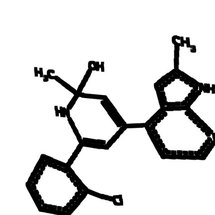 Cc1cc2c(C3=CC(C)(O)NC(c4ccccc4Cl)=C3)ccnc2[nH]1